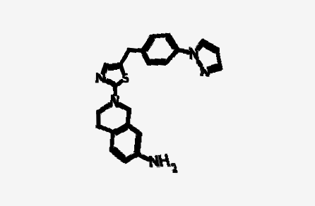 Nc1ccc2c(c1)CN(c1ncc(Cc3ccc(-n4cccn4)cc3)s1)CC2